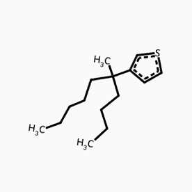 CCCCCC(C)(CCCC)c1ccsc1